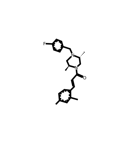 Cc1ccc(C=CC(=O)N2C[C@@H](C)N(Cc3ccc(F)cc3)C[C@@H]2C)c(C)c1